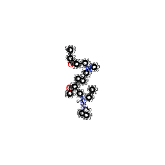 C=C/C(=C\C=C(/C)N(c1ccc(-c2cc(-c3cccc4c(-c5ccc(N(c6ccccc6)c6cccc(-c7ccc8oc9ccc(-c%10ccccc%10)cc9c8c7)c6)cc5)cccc34)cc3oc4ccccc4c23)cc1)c1cccc(-c2ccccc2)c1)c1cccc2ccccc12